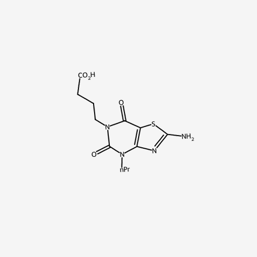 CCCn1c(=O)n(CCCC(=O)O)c(=O)c2sc(N)nc21